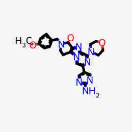 COc1ccc(CN2CCc3c(nc4c(N5CCOCC5)nc(-c5cnc(N)nc5)cn34)C2=O)cc1